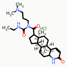 CCNC(=O)N(CCCN(C)C)C(=O)C1CC[C@H]2[C@@H]3CCC4NC(=O)C=C[C@]4(C)[C@@H]3CC[C@]12C.Cl